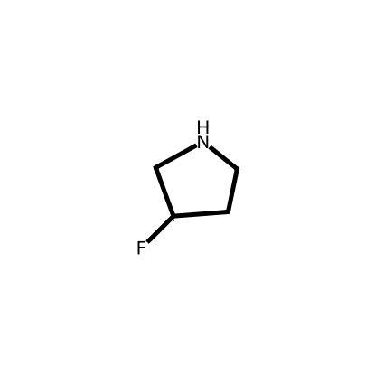 F[C]1CCNC1